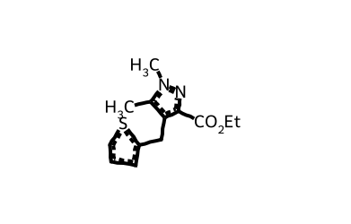 CCOC(=O)c1nn(C)c(C)c1Cc1cccs1